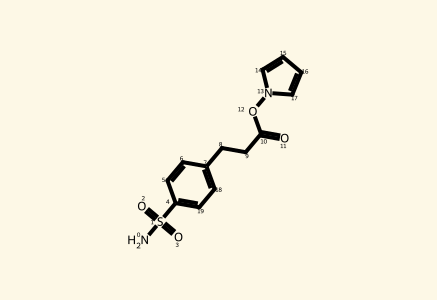 NS(=O)(=O)c1ccc(CCC(=O)On2cccc2)cc1